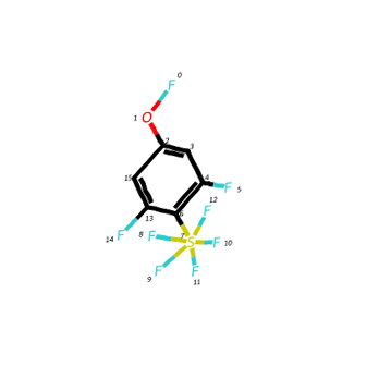 FOc1cc(F)c(S(F)(F)(F)(F)F)c(F)c1